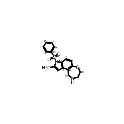 Cc1cc2c3c(ccc2n1S(=O)(=O)c1ccccc1)OCCNC3